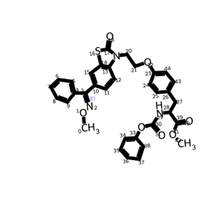 CO/N=C(\c1ccccc1)c1ccc2c(c1)sc(=O)n2CCOc1ccc(CC(NC(=O)Oc2ccccc2)C(=O)OC)cc1